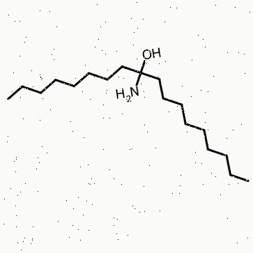 CCCCCCCCCC(N)(O)CCCCCCCC